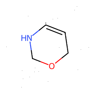 [C]1=CCOCN1